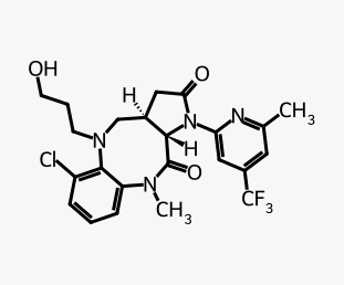 Cc1cc(C(F)(F)F)cc(N2C(=O)C[C@@H]3CN(CCCO)c4c(Cl)cccc4N(C)C(=O)[C@H]32)n1